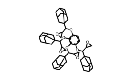 c1cc(OC(C2CO2)C23CC4CC(CC(C4)C2)C3)c(OC(C2CO2)C23CC4CC(CC(C4)C2)C3)c(OC(C2CO2)C23CC4CC(CC(C4)C2)C3)c1OC(C1CO1)C12CC3CC(CC(C3)C1)C2